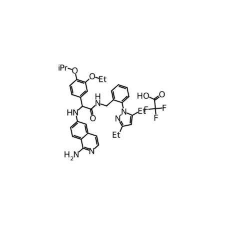 CCOc1cc(C(Nc2ccc3c(N)nccc3c2)C(=O)NCc2ccccc2-n2nc(CC)cc2CC)ccc1OC(C)C.O=C(O)C(F)(F)F